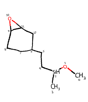 CO[SiH](C)CCC1CCC2OC2C1